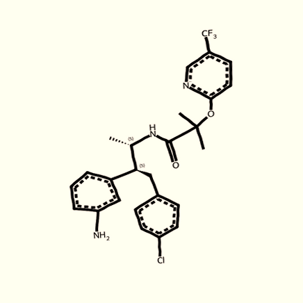 C[C@H](NC(=O)C(C)(C)Oc1ccc(C(F)(F)F)cn1)[C@@H](Cc1ccc(Cl)cc1)c1cccc(N)c1